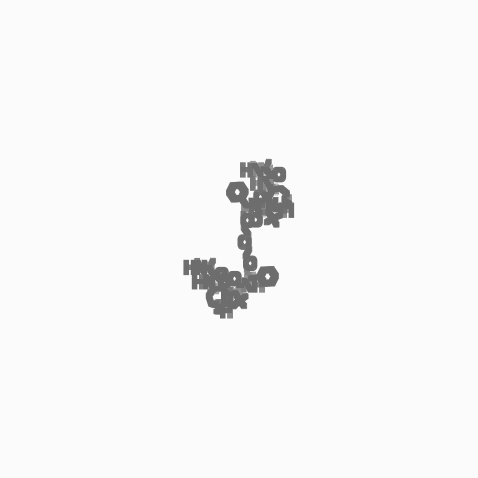 CN[C@@H](C)C(=O)N[C@H]1CCS[C@H]2CC(C)(C)[C@@H](C(=O)N[C@H](COCCOCCOC[C@@H](NC(=O)[C@H]3N4C(=O)[C@@H](NC(=O)[C@H](C)NC)CCS[C@H]4CC3(C)C)c3ccccc3)c3ccccc3)N2C1=O